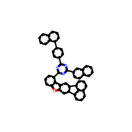 c1ccc2cc(-c3nc(-c4ccc(-c5cccc6ccccc56)cc4)nc(-c4cccc5oc6cc7c(cc6c45)-c4cccc5cccc-7c45)n3)ccc2c1